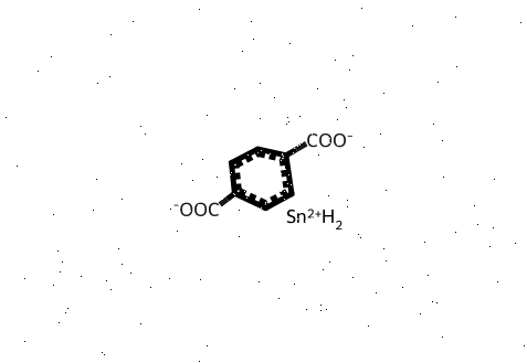 O=C([O-])c1ccc(C(=O)[O-])cc1.[SnH2+2]